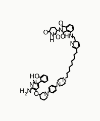 Nc1nnc(-c2ccccc2O)cc1OC1CCCN(c2ccc(N3CCN(CCCCCCCCCc4ccc(CNc5cccc6c5C(=O)N(C5CCC(=O)NC5=O)C6=O)nc4)CC3)cc2)C1